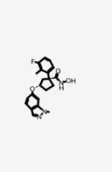 Cc1c(F)cccc1[C@]1(C(=O)NO)CC[C@H](Oc2ccc3cnn(C)c3c2)C1